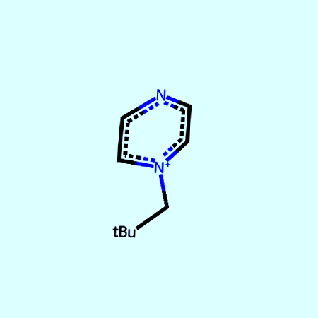 CC(C)(C)C[n+]1ccncc1